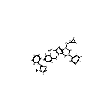 CCCc1nc2c(n1Cc1ccc(-c3ccccc3-c3nnn[nH]3)cc1)CN(c1ccccc1)CN2CC1CC1